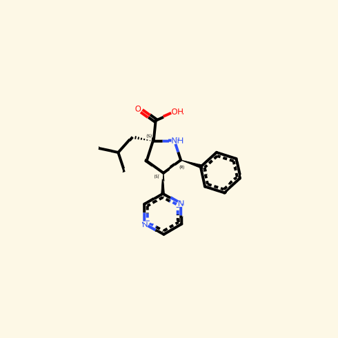 CC(C)C[C@@]1(C(=O)O)C[C@H](c2cnccn2)[C@H](c2ccccc2)N1